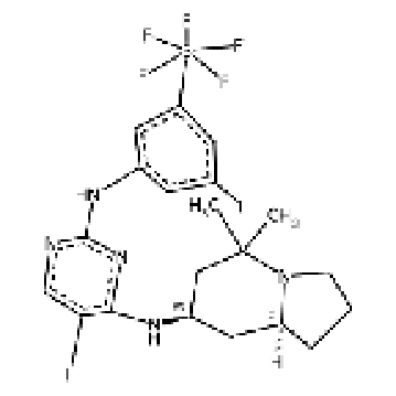 CC1(C)C[C@H](Nc2nc(Nc3cc(F)cc(S(F)(F)(F)(F)F)c3)ncc2F)C[C@@H]2CCCN21